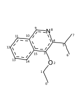 CCOc1c(C(C)C)ncc2ccccc12